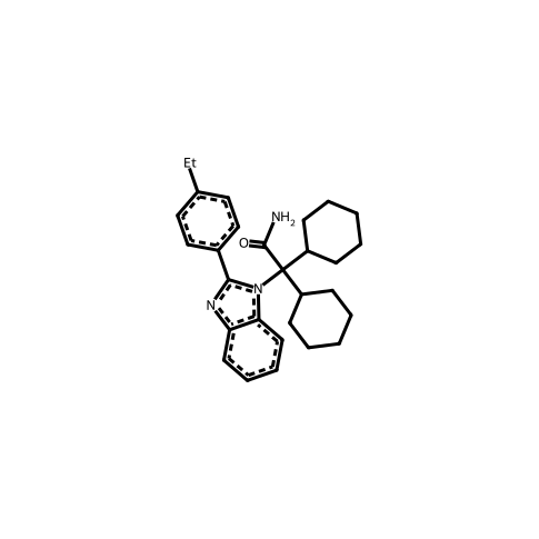 CCc1ccc(-c2nc3ccccc3n2C(C(N)=O)(C2CCCCC2)C2CCCCC2)cc1